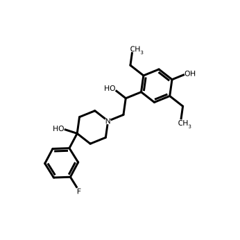 CCc1cc(C(O)CN2CCC(O)(c3cccc(F)c3)CC2)c(CC)cc1O